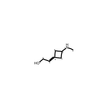 CNC1CC(=CCO)C1